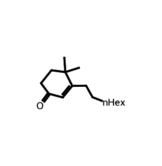 CCCCCCCCC1=CC(=O)CCC1(C)C